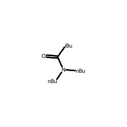 CCCCN(CCCC)C(=O)C(C)CC